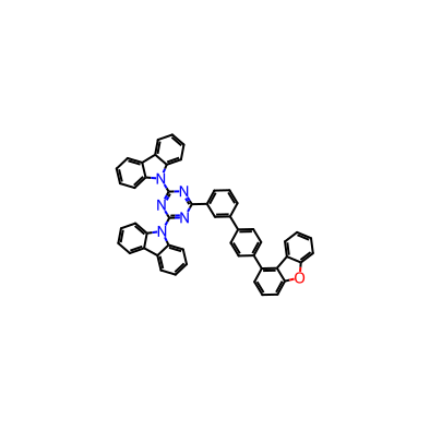 c1cc(-c2ccc(-c3cccc4oc5ccccc5c34)cc2)cc(-c2nc(-n3c4ccccc4c4ccccc43)nc(-n3c4ccccc4c4ccccc43)n2)c1